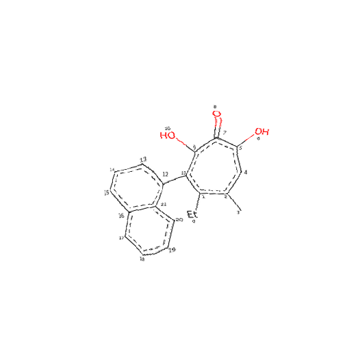 CCc1c(C)cc(O)c(=O)c(O)c1-c1cccc2ccccc12